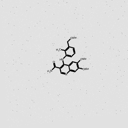 COCc1cccc(Nc2c(C(N)=O)cnc3cc(OC)c(OC)cc23)c1C